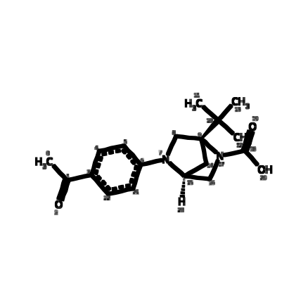 CC(=O)c1ccc(N2C[C@@]3(C(C)(C)C)C[C@H]2CN3C(=O)O)cc1